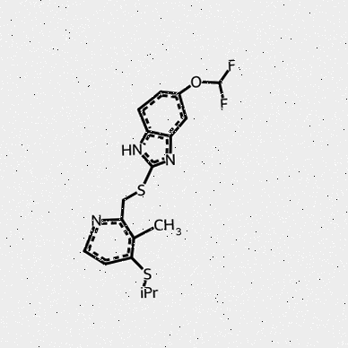 Cc1c(SC(C)C)ccnc1CSc1nc2cc(OC(F)F)ccc2[nH]1